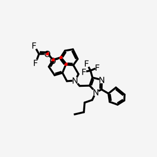 CCCCn1c(-c2ccccc2)nc(C(F)(F)F)c1CN(Cc1ccc(OC(F)F)cc1)Cc1cccc(OCC)c1